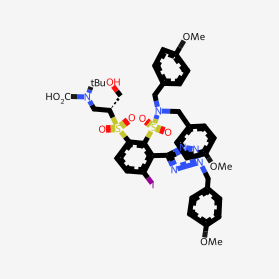 COc1ccc(CN(Cc2ccc(OC)cc2)S(=O)(=O)c2c(S(=O)(=O)[C@@H](CO)CN(C(=O)O)C(C)(C)C)ccc(I)c2-c2nnn(Cc3ccc(OC)cc3)n2)cc1